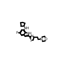 Fc1cc(NC2CCCC2)c2[nH]c(C3=NC(CCN4CCOCC4)CS3)cc2c1